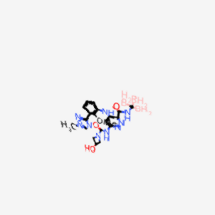 BC(B)(B)NC(=O)c1nnc(NC(=O)N2CC(O)C2)cc1Nc1cccc(-c2ncn(C)n2)c1OC